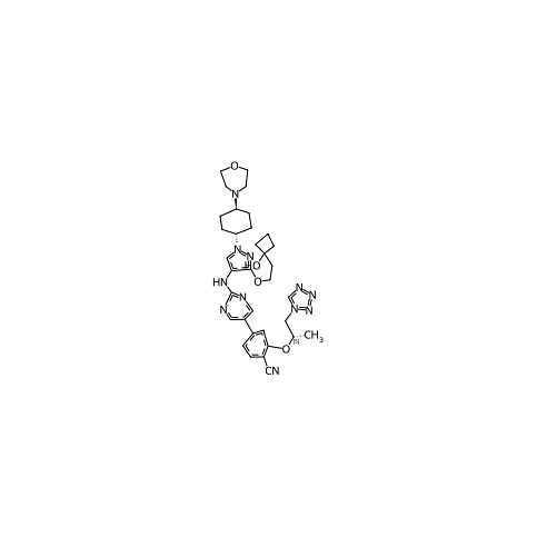 C[C@@H](Cn1cnnn1)Oc1cc(-c2cnc(Nc3cn([C@H]4CC[C@H](N5CCOCC5)CC4)nc3OCCC3(O)CCC3)nc2)ccc1C#N